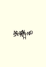 CSc1nccc(-c2cnc3c(NCCN4CCOCC4)nccn23)n1